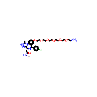 CCNC(=O)C[C@@H]1N=C(c2ccc(Cl)cc2)c2cc(OCCOCCOCCOCCOCCOCCN)ccc2N2C(C)NNC12